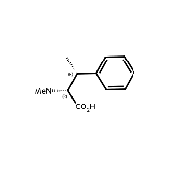 CN[C@@H](C(=O)O)[C@H](C)c1ccccc1